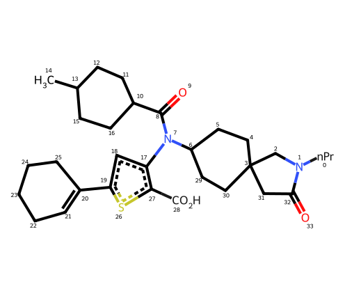 CCCN1CC2(CCC(N(C(=O)C3CCC(C)CC3)c3cc(C4=CCCCC4)sc3C(=O)O)CC2)CC1=O